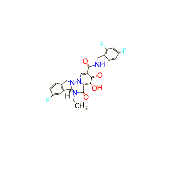 CCN1C(=O)c2c(O)c(=O)c(C(=O)NCc3ccc(F)cc3F)cn2N2Cc3ccc(F)cc3[C@@H]12